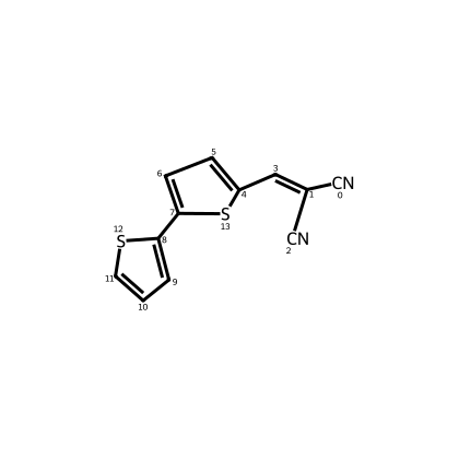 N#CC(C#N)=Cc1ccc(-c2cccs2)s1